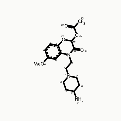 COc1ccc2c(c1)N(CCN1CCC(N)CC1)C(=O)C(OC(=O)C(F)(F)F)O2